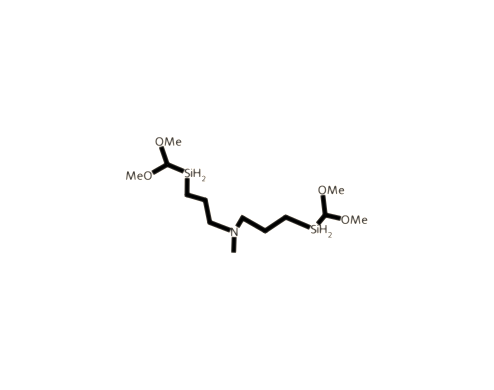 COC(OC)[SiH2]CCCN(C)CCC[SiH2]C(OC)OC